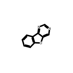 [c]1cccc2c1oc1cncnc12